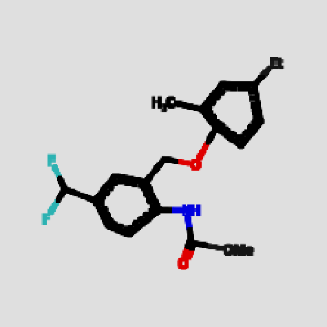 CCc1ccc(OCc2cc(C(F)F)ccc2NC(=O)OC)c(C)c1